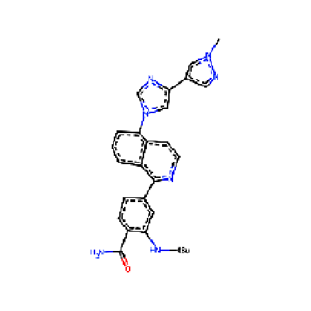 Cn1cc(-c2cn(-c3cccc4c(-c5ccc(C(N)=O)c(NC(C)(C)C)c5)nccc34)cn2)cn1